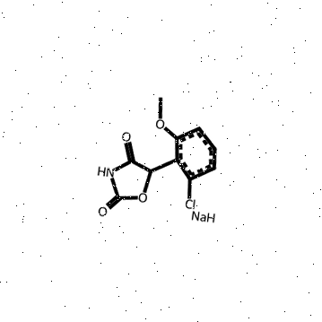 COc1cccc(Cl)c1C1OC(=O)NC1=O.[NaH]